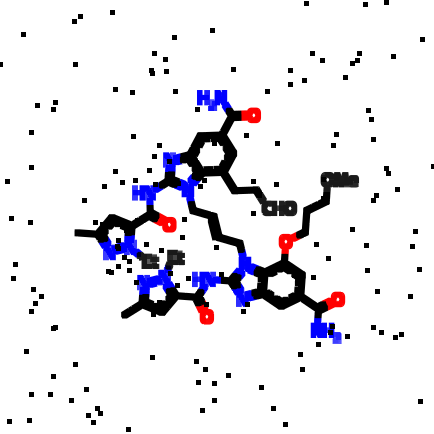 CCn1nc(C)cc1C(=O)Nc1nc2cc(C(N)=O)cc(CCC=O)c2n1C/C=C/Cn1c(NC(=O)c2cc(C)nn2CC)nc2cc(C(N)=O)cc(OCCCOC)c21